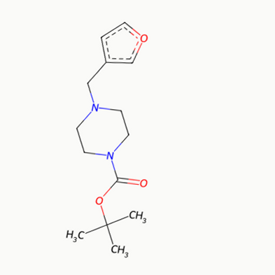 CC(C)(C)OC(=O)N1CCN(Cc2ccoc2)CC1